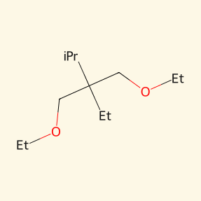 CCOCC(CC)(COCC)C(C)C